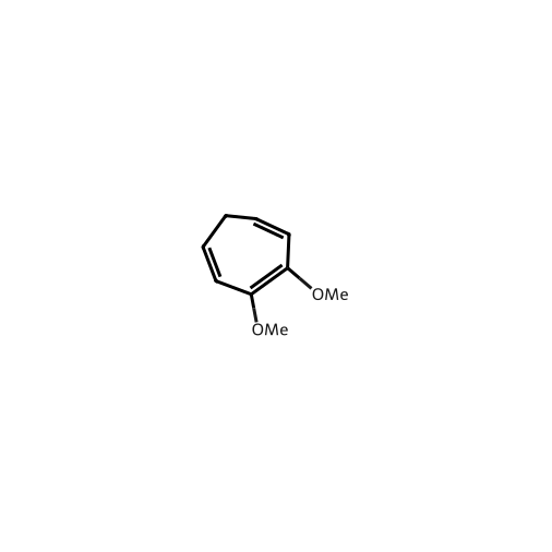 COC1=C(OC)C=CCC=C1